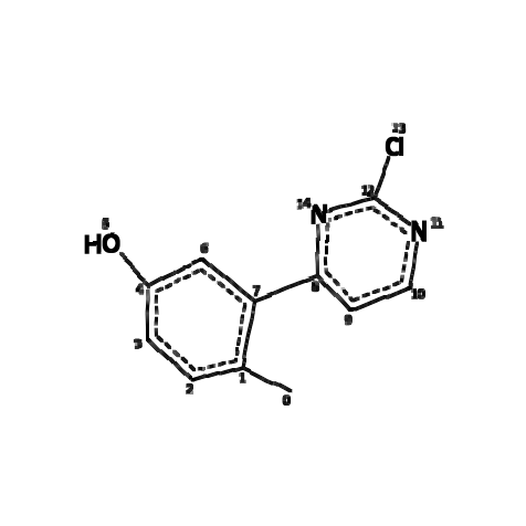 Cc1ccc(O)cc1-c1ccnc(Cl)n1